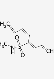 C=C/C=C\C(=C/C=C)S(=O)(=O)NC